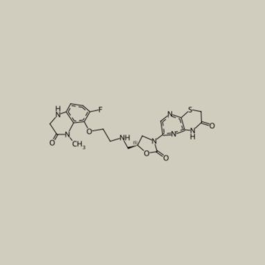 CN1C(=O)CNc2ccc(F)c(OCCNC[C@H]3CN(c4cnc5c(n4)NC(=O)CS5)C(=O)O3)c21